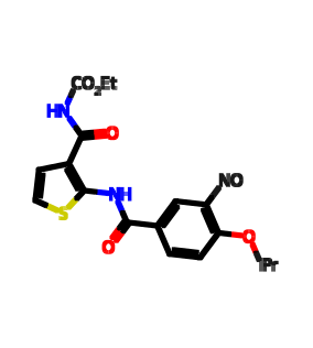 CCOC(=O)NC(=O)c1ccsc1NC(=O)c1ccc(OC(C)C)c(N=O)c1